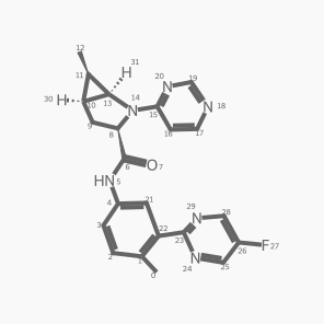 Cc1ccc(NC(=O)[C@H]2C[C@H]3[C@@H](C)[C@H]3N2c2ccncn2)cc1-c1ncc(F)cn1